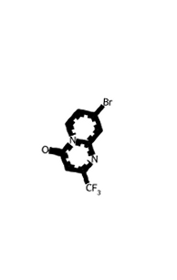 O=c1cc(C(F)(F)F)nc2cc(Br)ccn12